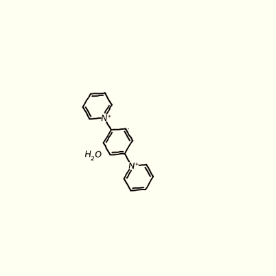 O.[c]1cc(-[n+]2ccccc2)ccc1-[n+]1ccccc1